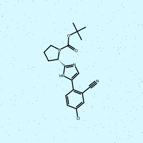 CC(C)(C)OC(=O)N1CCC[C@H]1c1ncc(-c2ccc(Cl)cc2C#N)[nH]1